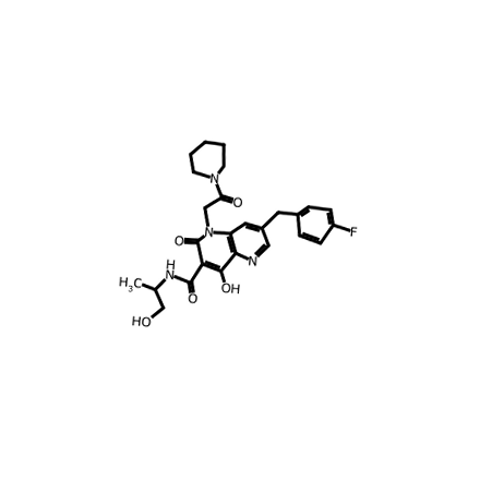 CC(CO)NC(=O)c1c(O)c2ncc(Cc3ccc(F)cc3)cc2n(CC(=O)N2CCCCC2)c1=O